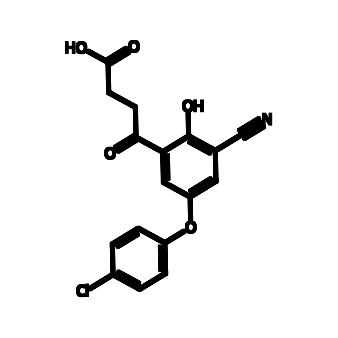 N#Cc1cc(Oc2ccc(Cl)cc2)cc(C(=O)CCC(=O)O)c1O